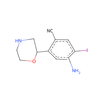 N#Cc1cc(I)c(N)cc1C1CNCCO1